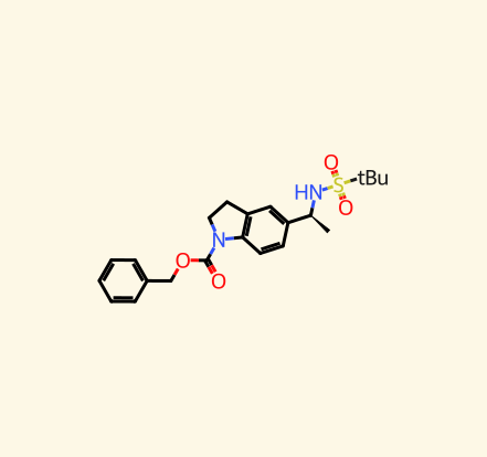 C[C@H](NS(=O)(=O)C(C)(C)C)c1ccc2c(c1)CCN2C(=O)OCc1ccccc1